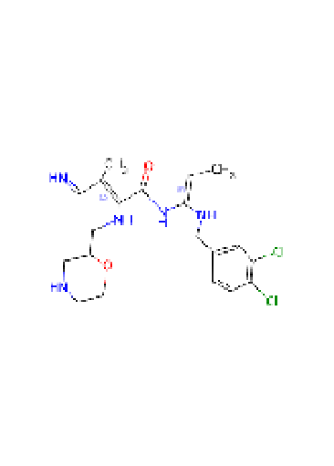 C/C=C(\NCc1ccc(Cl)c(Cl)c1)NC(=O)/C(NCC1CNCCO1)=C(\C)C=N